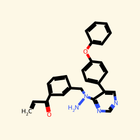 C=CC(=O)c1cccc(CN(N)c2ncncc2-c2ccc(Oc3ccccc3)cc2)c1